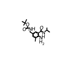 Cc1cc(CNC(=O)OC(C)(C)C)cc(C(=O)NC(C)C)c1N